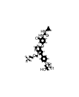 CCN(CC)C(C)(O)COc1ccc(-c2cc3c(Oc4ccc(NC(=O)NC5CC5)c(Cl)c4)ncnc3n2COCC[Si](C)(C)C)cc1